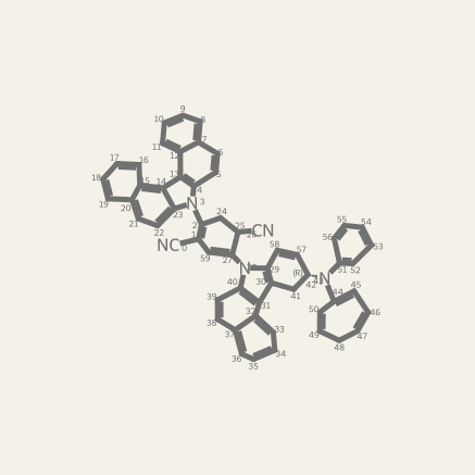 N#CC1=C(n2c3ccc4ccccc4c3c3c4ccccc4ccc32)CC(C#N)C(n2c3c(c4c5ccccc5ccc42)C[C@@H](N(C2=CC=CCC=C2)c2ccccc2)C=C3)=C1